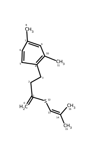 C=C(CCc1ccc(C)cc1C)SC=C(C)C